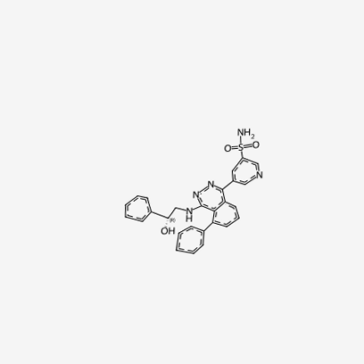 NS(=O)(=O)c1cncc(-c2nnc(NC[C@H](O)c3ccccc3)c3c(-c4ccccc4)cccc23)c1